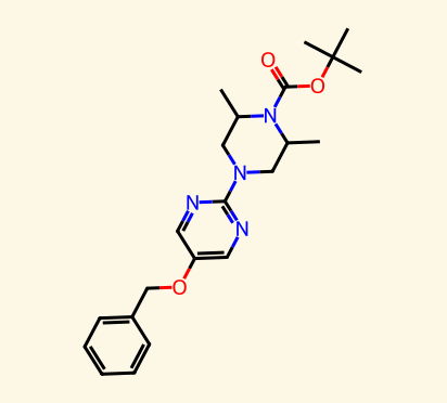 CC1CN(c2ncc(OCc3ccccc3)cn2)CC(C)N1C(=O)OC(C)(C)C